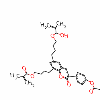 C=C(C)C(=O)OCCCCc1cc(CCCCOC(O)C(=C)C)cc2cc(-c3ccc(OC(=O)C(=C)C)cc3)c(=O)oc12